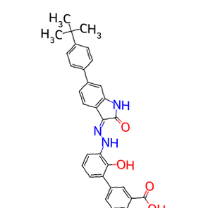 CC(C)(C)c1ccc(-c2ccc3c(c2)NC(=O)C3=NNc2cccc(-c3cccc(C(=O)O)c3)c2O)cc1